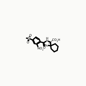 CC(C)(C)C1([C@H](NC(=O)c2ccc(S(C)(=O)=O)cc2[N+](=O)[O-])C(=O)O)CCCCC1